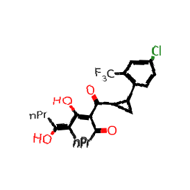 CCCC(=O)/C(C(=O)C1CC1c1ccc(Cl)cc1C(F)(F)F)=C(O)\C(CCC)=C(\O)CCC